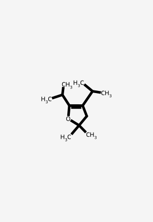 CC(C)C1=C(C(C)C)OC(C)(C)C1